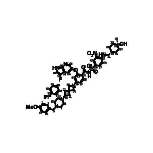 COc1ccc(CN2CCN(C3CC4(C3)CN(c3ccc(C(=O)NS(=O)(=O)c5ccc(NC[C@H]6CC[C@](C)(O)CC6)c([N+](=O)[O-])c5)c(Oc5cnc6[nH]cc(F)c6c5)c3)C4)[C@@H](c3ccccc3C(C)C)C2)cc1